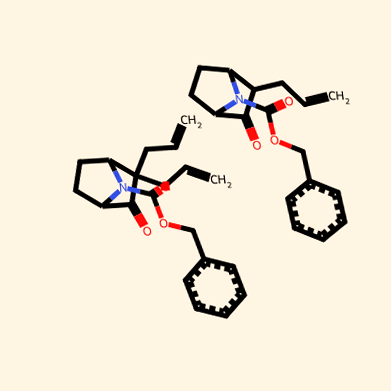 C=CCC1(CC=C)C(=O)C2CCC1N2C(=O)OCc1ccccc1.C=CCC1C(=O)C2CCC1N2C(=O)OCc1ccccc1